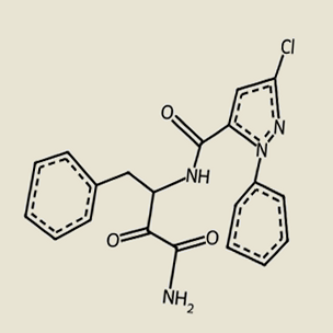 NC(=O)C(=O)C(Cc1ccccc1)NC(=O)c1cc(Cl)nn1-c1ccccc1